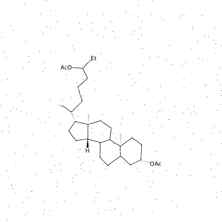 CCC(CCCC(C)[C@H]1CC[C@H]2C3CCC4C[C@@H](OC(C)=O)CC[C@]4(C)C3CC[C@]12C)OC(C)=O